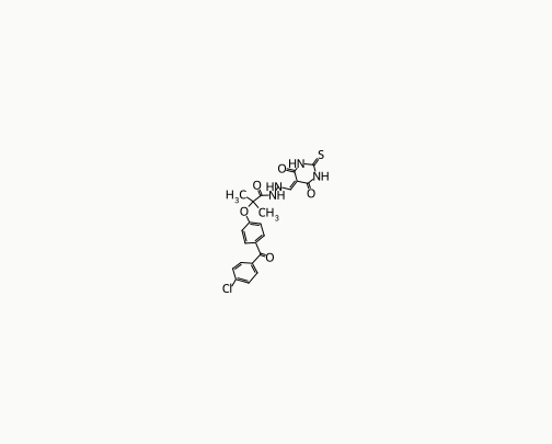 CC(C)(Oc1ccc(C(=O)c2ccc(Cl)cc2)cc1)C(=O)NNC=C1C(=O)NC(=S)NC1=O